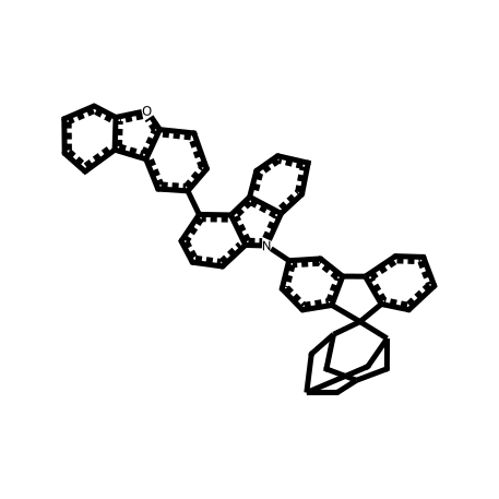 c1ccc2c(c1)-c1cc(-n3c4ccccc4c4c(-c5ccc6oc7ccccc7c6c5)cccc43)ccc1C21C2CC3CC(C2)CC1C3